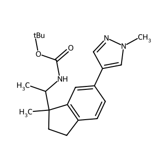 CC(NC(=O)OC(C)(C)C)C1(C)CCc2ccc(-c3cnn(C)c3)cc21